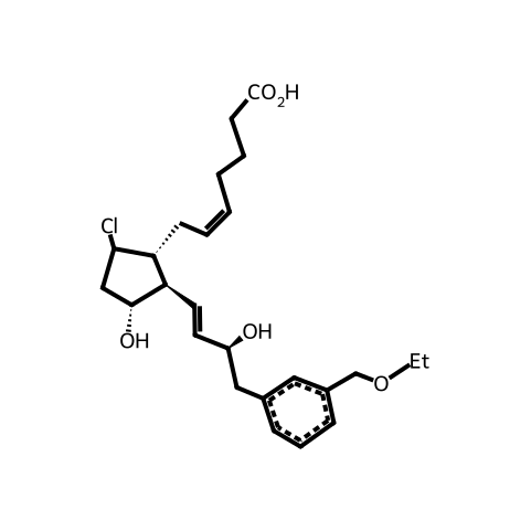 CCOCc1cccc(C[C@H](O)/C=C/[C@H]2[C@H](O)CC(Cl)[C@@H]2C/C=C\CCCC(=O)O)c1